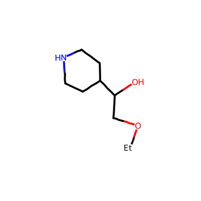 CCOCC(O)C1CCNCC1